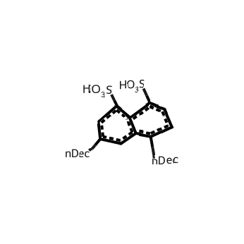 CCCCCCCCCCc1cc(S(=O)(=O)O)c2c(S(=O)(=O)O)ccc(CCCCCCCCCC)c2c1